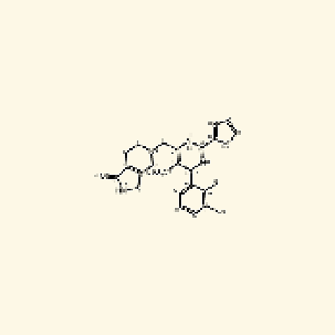 CCOC(=O)C1=C(CN2CCC3=C(CNC3=O)C2)NC(c2nccs2)=N[C@H]1c1cccc(F)c1C